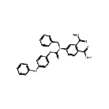 COC(=O)c1ccc(N(Cc2ccccc2)C(=O)Cc2ccc(Oc3ccccc3)cc2)cc1C(=O)OC